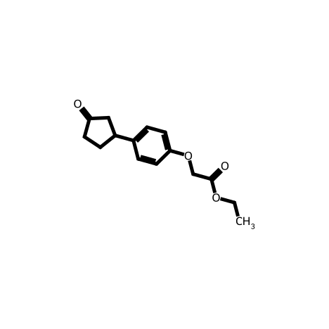 CCOC(=O)COc1ccc(C2CCC(=O)C2)cc1